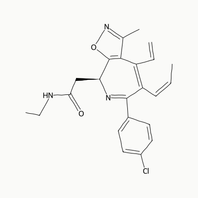 C=CC1=C(/C=C\C)C(c2ccc(Cl)cc2)=N[C@@H](CC(=O)NCC)c2onc(C)c21